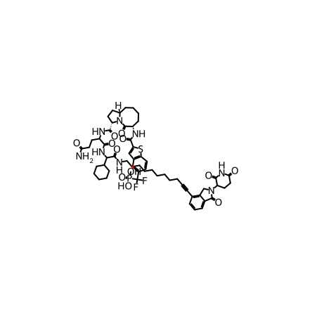 NC(=O)CCC(NC(=O)[C@@H]1CC[C@@H]2CCCC[C@H](NC(=O)c3cc4cc(C(F)(F)P(=O)(O)O)ccc4s3)C(=O)N21)C(=O)NC(C(=O)NCCCCCCCCCC#Cc1cccc2c1CN(C1CCC(=O)NC1=O)C2=O)C1CCCCC1